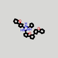 c1ccc(C2NC(c3ccc4c(c3)oc3ccccc34)NC(c3cccc4c3oc3c(-c5ccc6oc7ccccc7c6c5)cccc34)N2)cc1